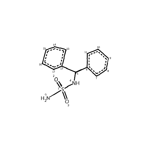 NS(=O)(=O)NC(c1ccccc1)c1ccccc1